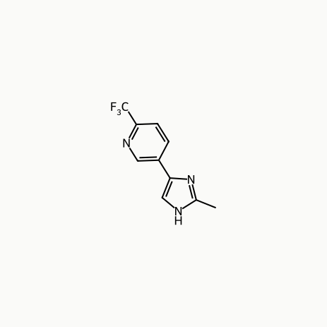 Cc1nc(-c2ccc(C(F)(F)F)nc2)c[nH]1